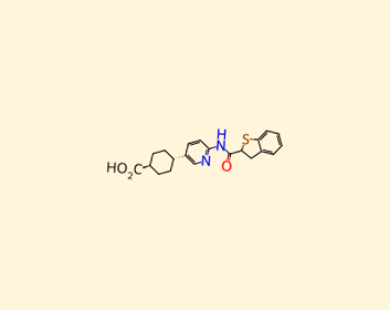 O=C(Nc1ccc([C@H]2CC[C@H](C(=O)O)CC2)cn1)C1Cc2ccccc2S1